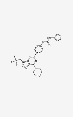 O=C(Nc1ccc(-c2nc(N3CCOCC3)c3nnn(CC(F)(F)F)c3n2)cc1)Nc1cccs1